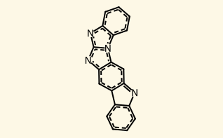 c1ccc2c(c1)N=c1cc3c(cc1-2)nc1nc2ccccc2n13